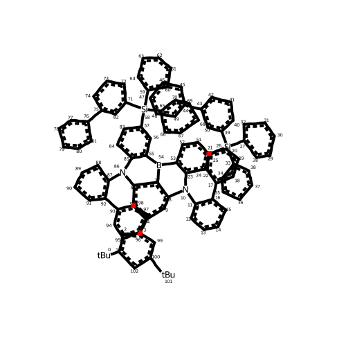 CC(C)(C)c1cc(-c2cc3c4c(c2)N(c2ccccc2-c2ccccc2)c2cc([Si](c5ccccc5)(c5ccccc5)c5cccc(-c6ccccc6)c5)ccc2B4c2cc([Si](c4ccccc4)(c4ccccc4)c4cccc(-c5ccccc5)c4)ccc2N3c2ccccc2-c2ccccc2)cc(C(C)(C)C)c1